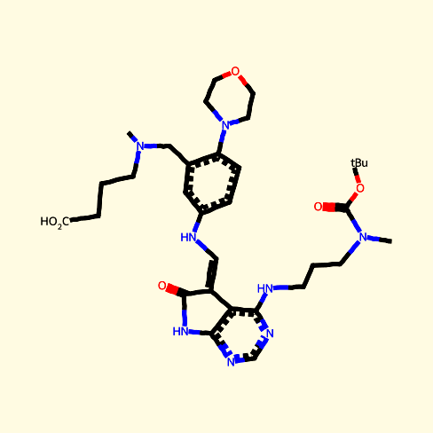 CN(CCCC(=O)O)Cc1cc(N/C=C2\C(=O)Nc3ncnc(NCCCN(C)C(=O)OC(C)(C)C)c32)ccc1N1CCOCC1